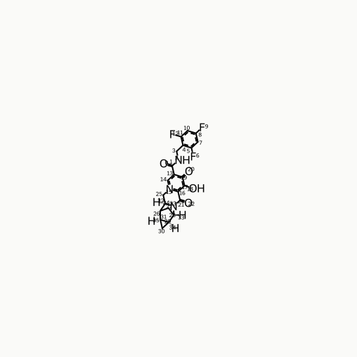 O=C(NCc1c(F)cc(F)cc1F)c1cn2c(c(O)c1=O)C(=O)N1[C@H](C2)C2C[C@H]1[C@H]1C[C@@H]21